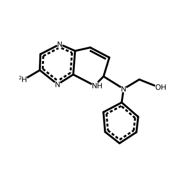 [2H]c1cnc2c(n1)NC(N(CO)c1ccccc1)C=C2